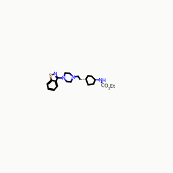 CCOC(=O)N[C@H]1CC[C@H](CCN2CCN(c3nsc4ccccc34)CC2)CC1